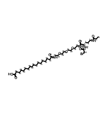 CCC(=O)NCCC[C@H](NC(=O)CBr)C(=O)NCCOCCOCCOCCNC(=O)CCCCCCCCCCCCCCCCC(=O)O